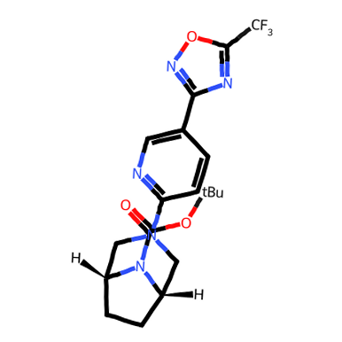 CC(C)(C)OC(=O)N1[C@@H]2CC[C@H]1CN(c1ccc(-c3noc(C(F)(F)F)n3)cn1)C2